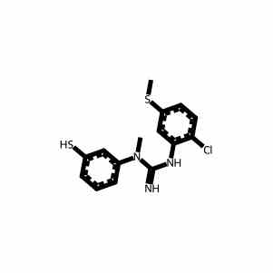 CSc1ccc(Cl)c(NC(=N)N(C)c2cccc(S)c2)c1